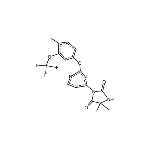 Cc1ccc(Oc2nccc(N3C(=O)NC(C)(C)C3=O)n2)cc1OC(F)(F)F